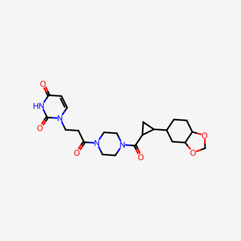 O=C(CCn1ccc(=O)[nH]c1=O)N1CCN(C(=O)C2CC2C2CCC3OCOC3C2)CC1